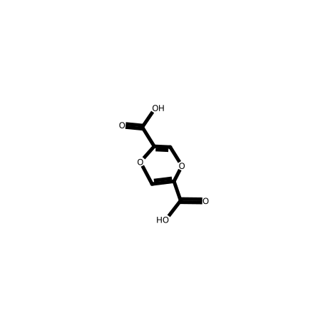 O=C(O)C1=COC(C(=O)O)=CO1